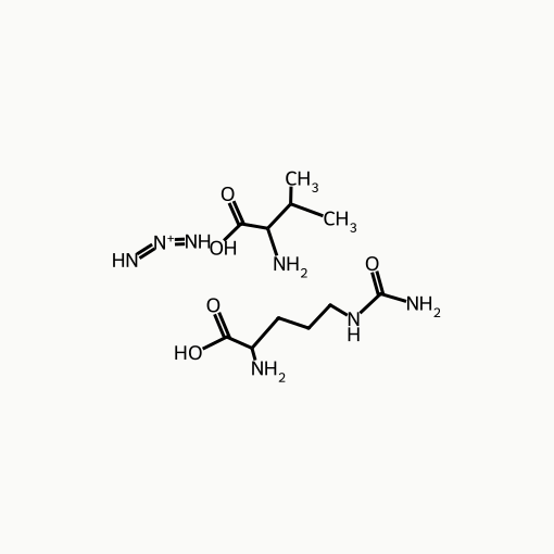 CC(C)C(N)C(=O)O.N=[N+]=N.NC(=O)NCCCC(N)C(=O)O